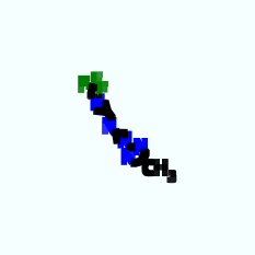 Cc1cnc(N2CC(=NCC3CN(CC(F)(F)F)C3)C2)nc1